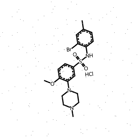 COc1ccc(S(=O)(=O)Nc2ccc(C)cc2Br)cc1N1CCN(C)CC1.Cl